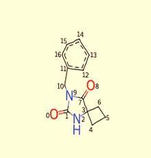 O=C1NC2(CCC2)C(=O)N1Cc1ccccc1